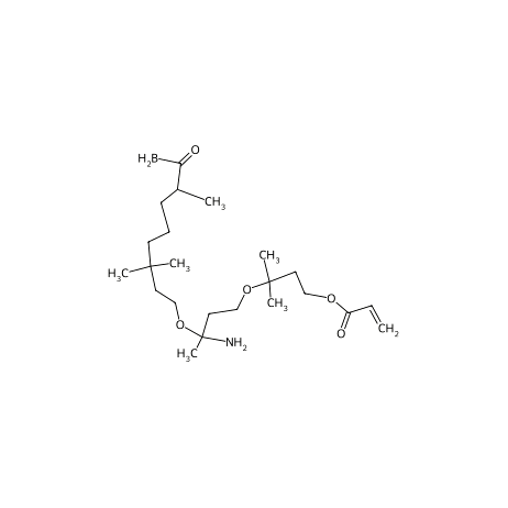 BC(=O)C(C)CCCC(C)(C)CCOC(C)(N)CCOC(C)(C)CCOC(=O)C=C